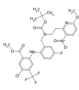 COC(=O)c1cc(Cl)c(C(F)(F)F)cc1Nc1ccc(F)cc1CN(CCc1nc(OC)ccc1[N+](=O)[O-])C(=O)OC(C)(C)C